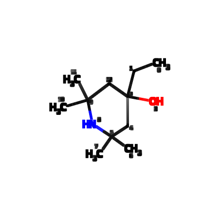 CCC1(O)CC(C)(C)NC(C)(C)C1